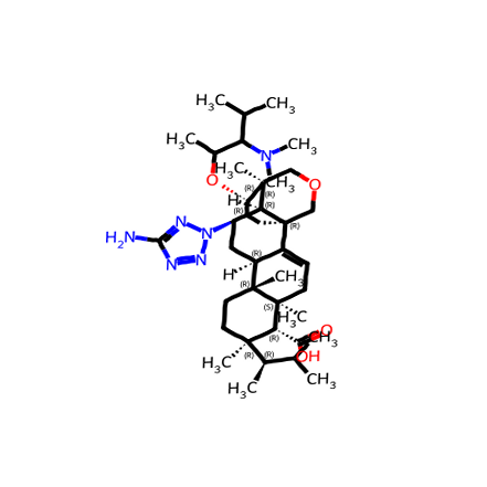 CC(C)C(C(C)O[C@H]1[C@H](n2nnc(N)n2)C[C@@]23COC[C@@]1(C)[C@@H]2CC[C@H]1C3=CC[C@@]2(C)[C@H](C(=O)O)[C@@](C)([C@H](C)C(C)C)CC[C@]12C)N(C)C